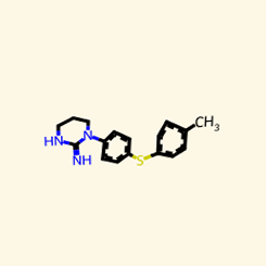 Cc1ccc(Sc2ccc(N3CCCNC3=N)cc2)cc1